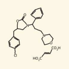 O=C(O)/C=C/C(=O)O.O=C1OC(Cc2ccc(Cl)cc2)CN1C(CCN1CCOCC1)c1ccccc1